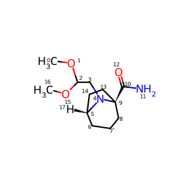 COC(CN1[C@@H]2C[CH]C[C@@]1(C(N)=O)CC2)OC